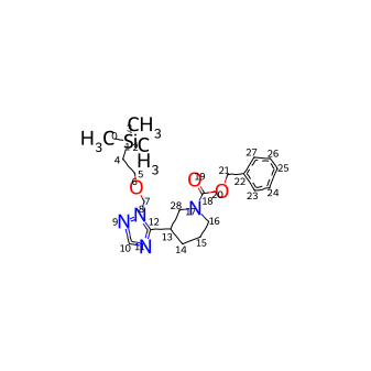 C[Si](C)(C)CCOCn1ncnc1C1CCCN(C(=O)OCc2ccccc2)C1